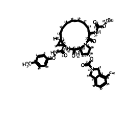 Cc1ccc(ONC(=O)[C@@]23C[C@H]2CCCCCCCC(NC(=O)OC(C)(C)C)C(=O)N2C[C@H](OC(=O)N4Cc5cccc(F)c5C4)C[C@H]2C(=O)N3)cc1